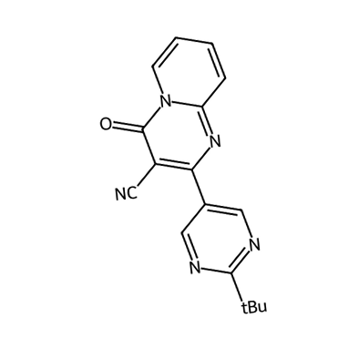 CC(C)(C)c1ncc(-c2nc3ccccn3c(=O)c2C#N)cn1